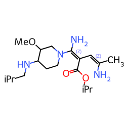 COC1CN(/C(N)=C(/C=C(/C)N)C(=O)OC(C)C)CCC1NCC(C)C